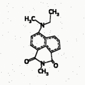 CCN(C)c1ccc2c3c(cccc13)C(=O)N(C)C2=O